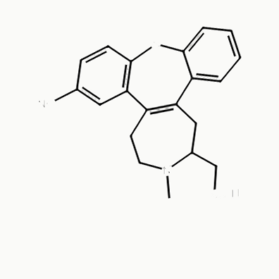 CN1CCC2=C(CC1CS(=O)(=O)O)c1ccccc1Sc1ccc(C#N)cc12